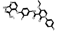 CCOc1ccn(-c2ccc(F)cc2)c(=O)c1C(=O)Nc1ccc(Oc2ccnc3[nH]nc(N)c23)c(F)c1